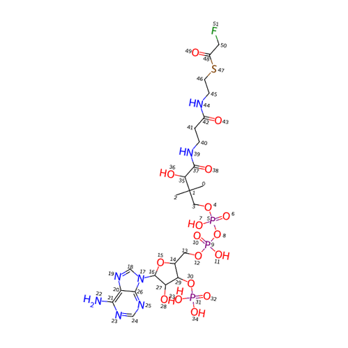 CC(C)(COP(=O)(O)OP(=O)(O)OCC1OC(n2cnc3c(N)ncnc32)C(O)C1OP(=O)(O)O)C(O)C(=O)NCCC(=O)NCCSC(=O)CF